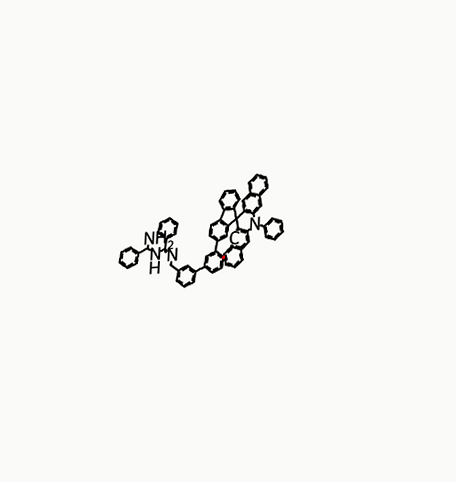 NC(N/C(=N\Cc1cccc(-c2cccc(-c3ccc4c(c3)C3(c5ccccc5-4)c4cc5ccccc5cc4N(c4ccccc4)c4cc5ccccc5cc43)c2)c1)c1ccccc1)c1ccccc1